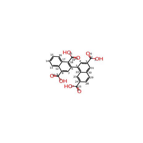 O=C(O)c1cc(-c2cc(C(=O)O)c3ccccc3c2C(=O)O)c2cc(C(=O)O)ccc2c1